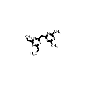 CCc1nc(CC)nc(Cc2nc(C)nc(C)n2)n1